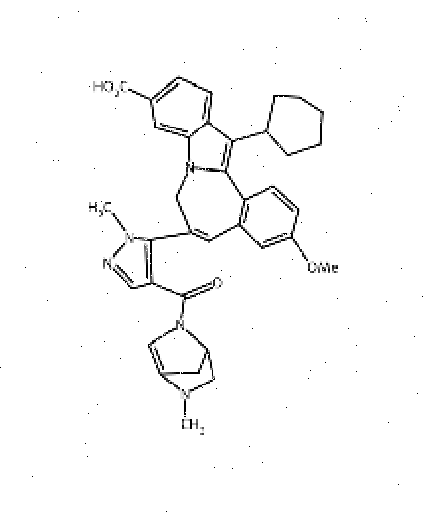 COc1ccc2c(c1)C=C(c1c(C(=O)N3C=C4CC3CN4C)cnn1C)Cn1c-2c(C2CCCCC2)c2ccc(C(=O)O)cc21